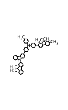 Cc1ccc(N(c2ccc(-c3ccc4c(c3)C(C)(C)c3cc(C)ccc3-4)cc2)c2ccc(-c3ccc4c(c3)c3ccccc3n4-c3ccc4c(c3)C(C)(C)c3ccccc3-4)cc2)cc1